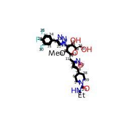 CCNC(=O)N1CCC(c2cc(C[C@H]3O[C@H](CO)[C@H](O)[C@H](n4cc(-c5cc(F)c(F)c(F)c5)nn4)[C@H]3OC)no2)CC1